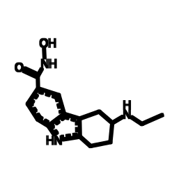 CCNC1CCc2[nH]c3ccc(C(=O)NO)cc3c2C1